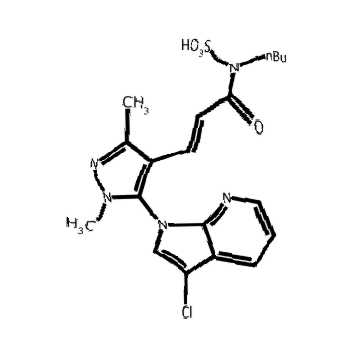 CCCCN(C(=O)C=Cc1c(C)nn(C)c1-n1cc(Cl)c2cccnc21)S(=O)(=O)O